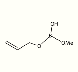 C=CCOB(O)OC